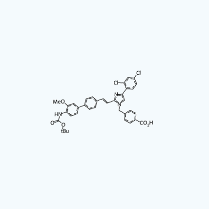 COc1cc(-c2ccc(C=Cc3nc(-c4ccc(Cl)cc4Cl)cn3Cc3ccc(C(=O)O)cc3)cc2)ccc1NC(=O)OC(C)(C)C